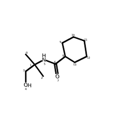 CC(C)(CO)NC(=O)C1CCCCC1